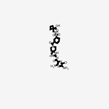 Nc1nc(N)c(C(=O)/N=C2\NCC3(CCN(C(=O)c4cccc(S(=O)(=O)NCC5(C(=O)O)CCC5)c4)CC3)N2)nc1Cl